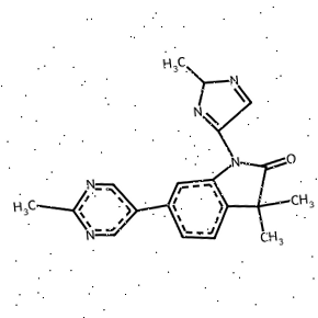 Cc1ncc(-c2ccc3c(c2)N(C2=NC(C)N=C2)C(=O)C3(C)C)cn1